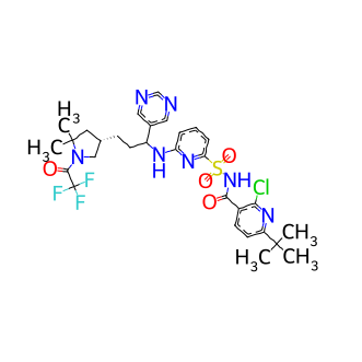 CC(C)(C)c1ccc(C(=O)NS(=O)(=O)c2cccc(NC(CC[C@@H]3CN(C(=O)C(F)(F)F)C(C)(C)C3)c3cncnc3)n2)c(Cl)n1